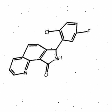 O=C1NC(c2cc(F)ccc2Cl)c2ccc3cccnc3c21